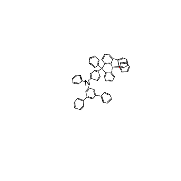 c1ccc(-c2cc(-c3ccccc3)cc(N(c3ccccc3)c3ccc(C4(c5ccccc5)c5ccccc5C5(c6ccccc6)c6ccccc6-c6cccc4c65)cc3)c2)cc1